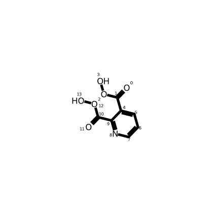 O=C(OO)c1cccnc1C(=O)OO